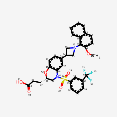 COc1ccc2ccccc2c1N1CC(c2ccc3c(c2)N(S(=O)(=O)c2cccc(C(F)(F)F)c2)C[C@H](CCC(=O)O)O3)C1